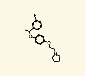 CC(Oc1ccc(OCCN2CCCC2)cc1)c1cccc(F)c1